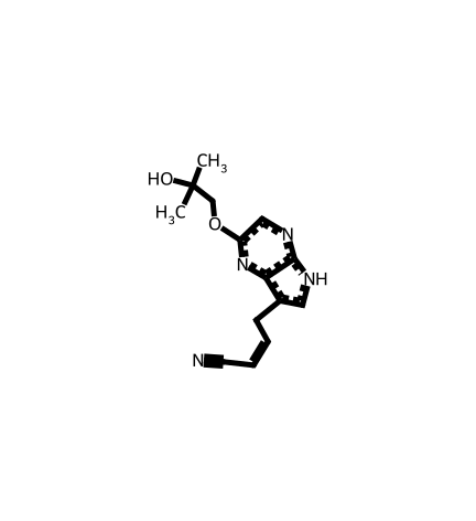 CC(C)(O)COc1cnc2[nH]cc(C/C=C\C#N)c2n1